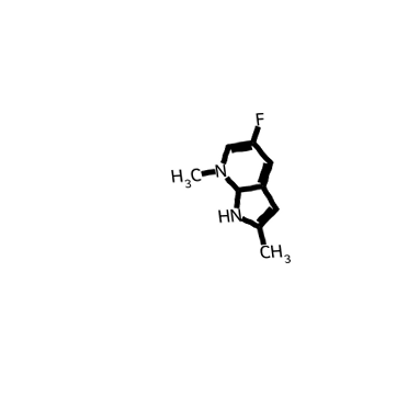 CC1=CC2=CC(F)=CN(C)C2N1